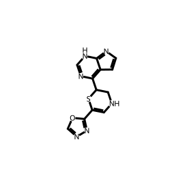 C1=C(c2nnco2)SC(c2nc[nH]c3nccc2-3)CN1